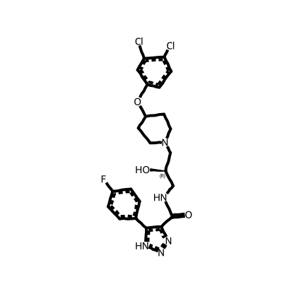 O=C(NC[C@@H](O)CN1CCC(Oc2ccc(Cl)c(Cl)c2)CC1)c1nn[nH]c1-c1ccc(F)cc1